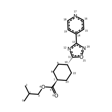 CC(C)COC(=O)[C@H]1CC[C@H](c2nc(-c3ccncc3)no2)CC1